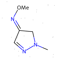 CON=C1C=NN(C)C1